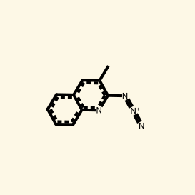 Cc1cc2ccccc2nc1N=[N+]=[N-]